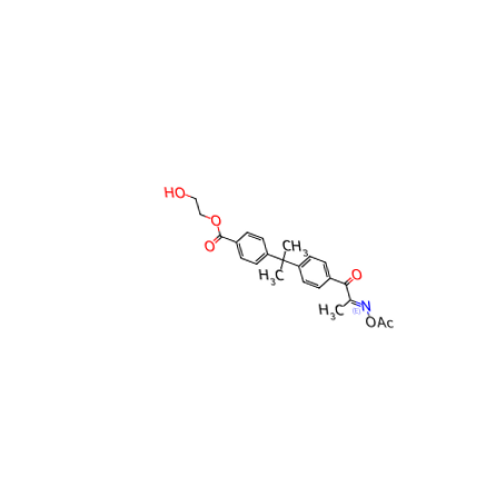 CC(=O)O/N=C(\C)C(=O)c1ccc(C(C)(C)c2ccc(C(=O)OCCO)cc2)cc1